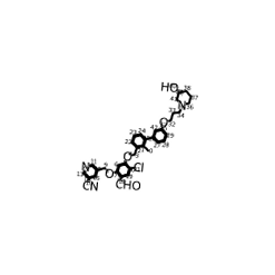 Cc1c(COc2cc(OCc3cncc(C#N)c3)c(C=O)cc2Cl)cccc1-c1cccc(OCCCN2CCC[C@@H](O)C2)c1